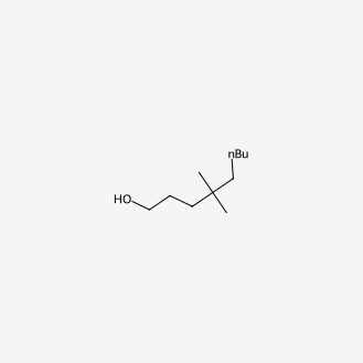 CCCCCC(C)(C)CCCO